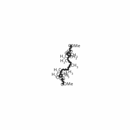 COC(=O)CCC(=O)OC1CC(C)(C)C(/C=C/C(C)=CC=CC(C)=C/C=C/C=C(C)C=CC=C(C)/C=C/C2=C(C)C(=O)C(OC(=O)CCC(=O)OC)CC2(C)C)=C(C)C1=O